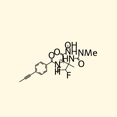 CC#Cc1ccc(C(=O)N[C@H](C(=O)NO)C(C)(NC(=O)NC)C(F)F)cc1